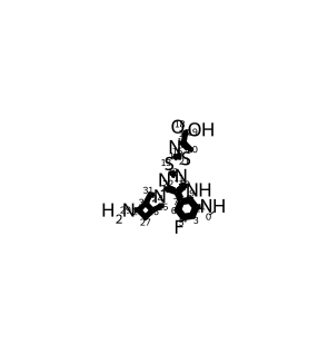 CNc1cc(F)cc2c1[nH]c1nc(Sc3nc(C(=O)O)cs3)nc(N3CC4CC(N)C4C3)c12